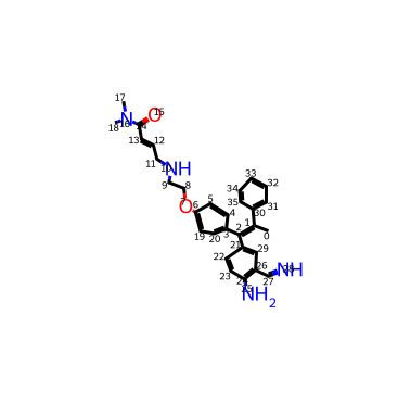 C/C(=C(/c1ccc(OCCNC/C=C/C(=O)N(C)C)cc1)c1ccc(N)c(C=N)c1)c1ccccc1